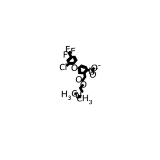 CN(C)CCOC(=O)Cc1cc(Oc2ccc(C(F)(F)F)cc2Cl)ccc1[N+](=O)[O-]